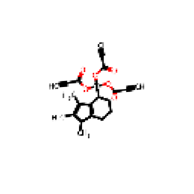 C#CC(=O)[O][Ti]([O]C(=O)C#C)([O]C(=O)C#C)[CH]1CCCC2=C1C(C)=C(C)C2C